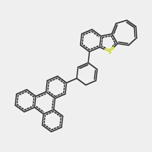 C1=CC=c2sc3c(C4=CC(c5ccc6c7ccccc7c7ccccc7c6c5)CC=C4)cccc3c2=CC=1